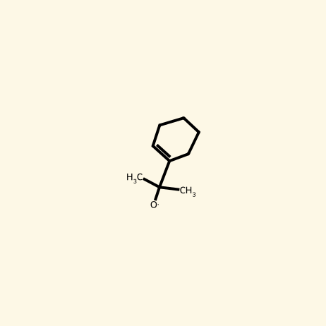 CC(C)([O])C1=CCCCC1